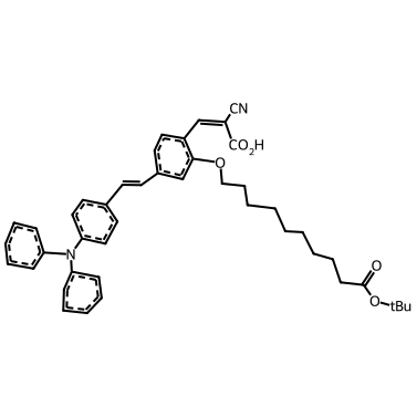 CC(C)(C)OC(=O)CCCCCCCCCOc1cc(/C=C/c2ccc(N(c3ccccc3)c3ccccc3)cc2)ccc1/C=C(/C#N)C(=O)O